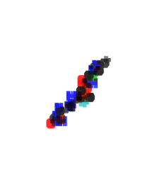 CC1(C)CCC(c2ccc(Cl)cc2)=C(CN2CCN(c3ccc(C(=O)NS(=O)(=O)c4ccc(N[C@H](CCN5CC6CCC5CN6Cc5cncc(N6CCC(=O)NC6=O)c5)CSc5ccccc5)c(S(=O)(=O)C(F)(F)F)c4)cc3)CC2)C1